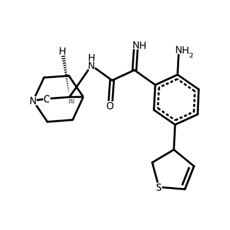 N=C(C(=O)N[C@@H]1CN2CCC1CC2)c1cc(C2C=CSC2)ccc1N